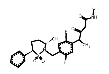 CC(C(=O)CC(=O)NO)c1cc(F)c(CN2[C@@H](C)CC[C@H](c3ccccc3)S2(=O)=O)cc1F